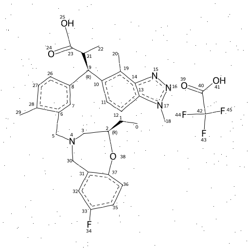 CC[C@@H]1CN(Cc2cc([C@H](c3ccc4c(nnn4C)c3C)C(C)C(=O)O)ccc2C)Cc2cc(F)ccc2O1.O=C(O)C(F)(F)F